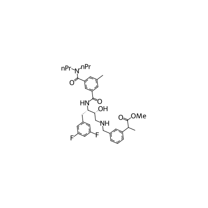 CCCN(CCC)C(=O)c1cc(C)cc(C(=O)N[C@@H](Cc2cc(F)cc(F)c2)[C@H](O)CNCc2cccc(C(C)C(=O)OC)c2)c1